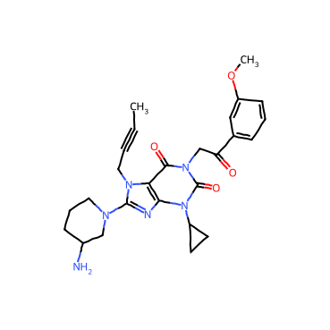 CC#CCn1c(N2CCCC(N)C2)nc2c1c(=O)n(CC(=O)c1cccc(OC)c1)c(=O)n2C1CC1